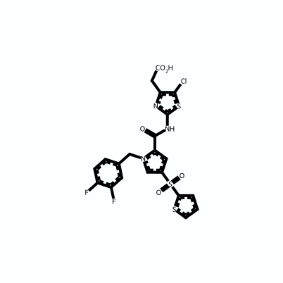 O=C(O)Cc1nc(NC(=O)c2cc(S(=O)(=O)c3cccs3)cn2Cc2ccc(F)c(F)c2)sc1Cl